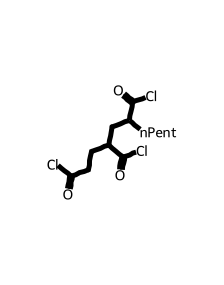 CCCCCC(CC(CCC(=O)Cl)C(=O)Cl)C(=O)Cl